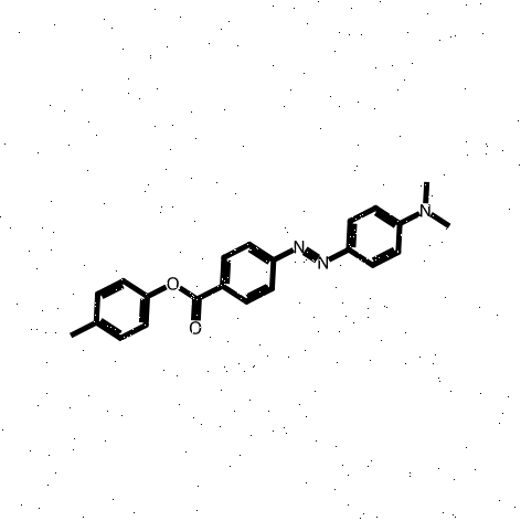 Cc1ccc(OC(=O)c2ccc(N=Nc3ccc(N(C)C)cc3)cc2)cc1